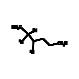 [2H]C(CCC(=O)O)C([2H])([2H])C(=O)O